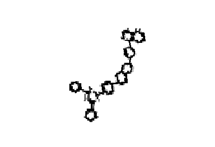 c1ccc(-c2nc(-c3ccccc3)nc(-c3ccc(-c4ccc5ccc(-c6ccc(-c7cccc8ncccc78)cc6)cc5c4)cc3)n2)cc1